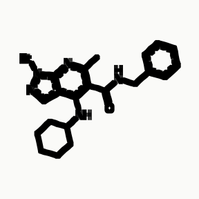 CCn1ncc2c(NC3CCCCC3)c(C(=O)NCc3ccccc3)c(C)nc21